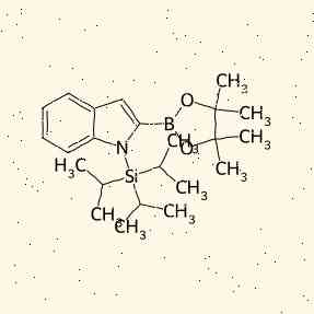 CC(C)[Si](C(C)C)(C(C)C)n1c(B2OC(C)(C)C(C)(C)O2)cc2ccccc21